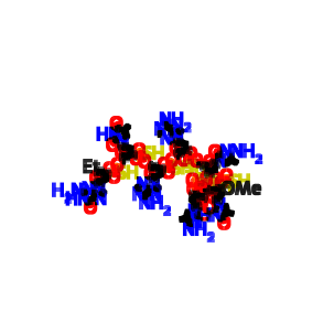 CC[C@H]1O[C@@H](n2cnc3c(=O)[nH]c(N)nc32)C[C@H]1OP(=O)(S)OC[C@H]1O[C@@H](n2cc(C)c(=O)[nH]c2=O)C[C@H]1OP(=O)(S)OC[C@H]1O[C@@H](n2cnc3c(N)ncnc32)C[C@H]1OP(=O)(S)OC[C@H]1O[C@@H](n2cnc3c(N)ncnc32)C[C@H]1OP(=O)(S)OC[C@H]1O[C@@H](n2cc(C)c(N)nc2=O)C[C@H]1OP(=O)(S)OC[C@H]1O[C@@H](n2cc(C)c(N)nc2=O)C[C@H]1OP(=O)(S)OC[C@H]1O[C@@H](n2cc(C)c(=O)[nH]c2=O)C[C@H]1OP(=O)(S)OC